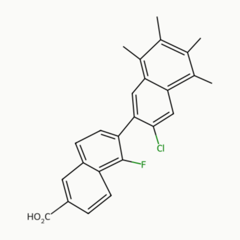 Cc1c(C)c(C)c2cc(-c3ccc4cc(C(=O)O)ccc4c3F)c(Cl)cc2c1C